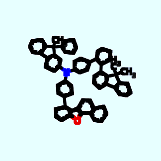 CC1(C)c2ccccc2-c2cccc(-c3ccccc3-c3ccc(N(c4ccc(-c5cccc6oc7c8ccccc8ccc7c56)cc4)c4ccc5c(c4)C(C)(c4ccccc4)c4ccccc4-5)cc3)c21